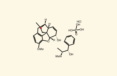 CN[C@@H](C)[C@@H](O)c1ccccc1.COc1ccc2c3c1O[C@H]1[C@@H](O)C=C[C@H]4[C@@H](C2)N(C)CC[C@@]341.Cl.O=P(O)(O)O